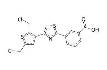 O=C(O)c1cccc(-c2nc(-c3cc(CCl)sc3CCl)cs2)c1